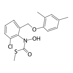 CSC(=O)N(O)c1c(Cl)cccc1COc1ccc(C)cc1C